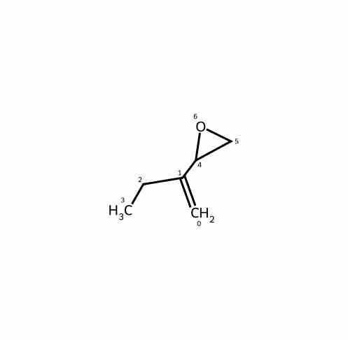 C=C(CC)C1CO1